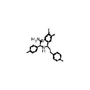 Cc1ccc(CCC(NC(C(N)=O)c2ccc(C)cc2)c2ccc(F)c(C)c2)cc1